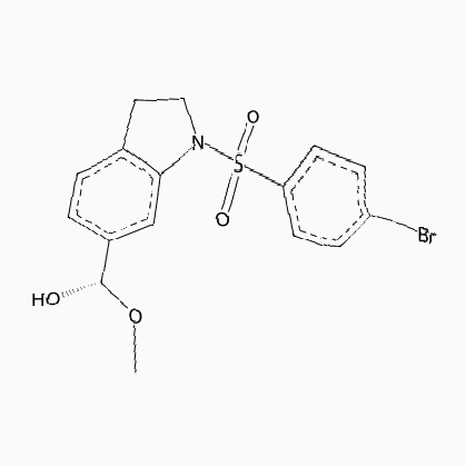 CO[C@H](O)c1ccc2c(c1)N(S(=O)(=O)c1ccc(Br)cc1)CC2